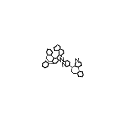 c1ccc2c(c1)CCC(c1ccc(-n3c4cc5c6c(c4c4c7ccccc7ccc43)-c3ccccc3C(C6)c3ccccc3-5)nc1)c1cnccc1-2